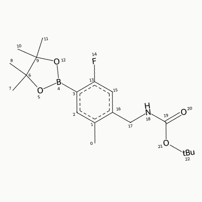 Cc1cc(B2OC(C)(C)C(C)(C)O2)c(F)cc1CNC(=O)OC(C)(C)C